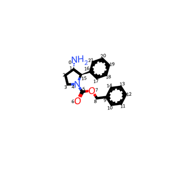 N[C@H]1CCN(C(=O)OCc2ccccc2)[C@@H]1c1ccccc1